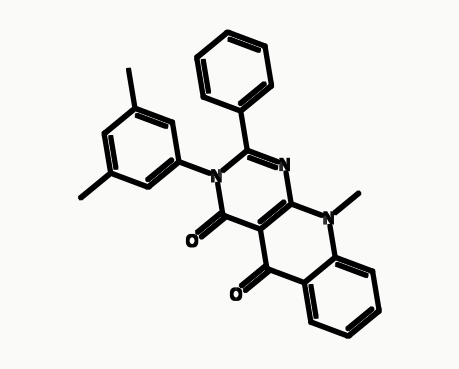 Cc1cc(C)cc(-n2c(-c3ccccc3)nc3c(c(=O)c4ccccc4n3C)c2=O)c1